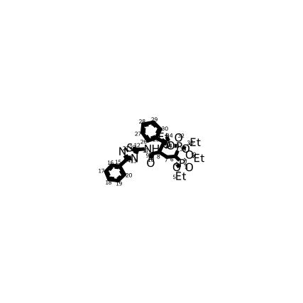 CCOP(=O)(OCC)C(CC(C(=O)Nc1nc(-c2ccccc2)ns1)C(=O)c1ccccc1)P(=O)(OCC)OCC